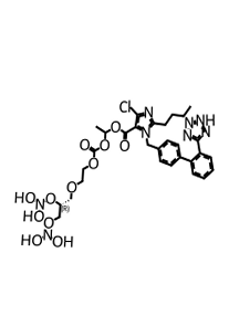 CCCCc1nc(Cl)c(C(=O)OC(C)OC(=O)OCCOC[C@H](CON(O)O)ON(O)O)n1Cc1ccc(-c2ccccc2-c2nn[nH]n2)cc1